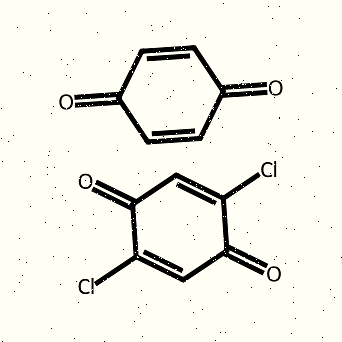 O=C1C=C(Cl)C(=O)C=C1Cl.O=C1C=CC(=O)C=C1